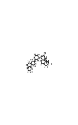 Cc1ccc2ccc3c(-c4cccc(-c5ccc6c(ccc7ccccc76)c5)c4)cc(C)nc3c2n1